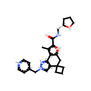 Cc1c(C(=O)NC[C@@H]2CCCO2)oc2c1-c1nn(Cc3ccncc3)cc1C1(CCC1)C2